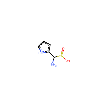 NC(c1ccc[nH]1)S(=O)O